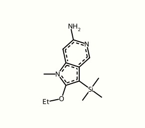 CCOc1c([Si](C)(C)C)c2cnc(N)cc2n1C